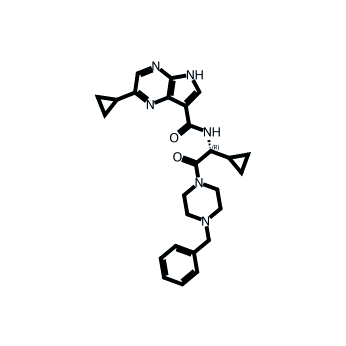 O=C(N[C@@H](C(=O)N1CCN(Cc2ccccc2)CC1)C1CC1)c1c[nH]c2ncc(C3CC3)nc12